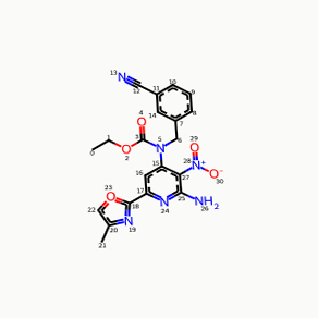 CCOC(=O)N(Cc1cccc(C#N)c1)c1cc(-c2nc(C)co2)nc(N)c1[N+](=O)[O-]